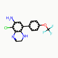 Nc1cc(-c2ccc(OC(F)(F)F)cc2)c2c(c1Cl)N=CCN2